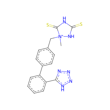 C[N+]1(Cc2ccc(-c3ccccc3-c3nnn[nH]3)cc2)NC(=S)NC1=S